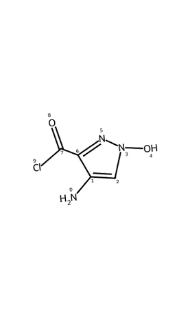 Nc1cn(O)nc1C(=O)Cl